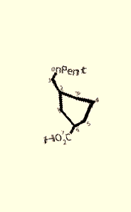 CCCCCCC1CCCC(C(=O)O)C1